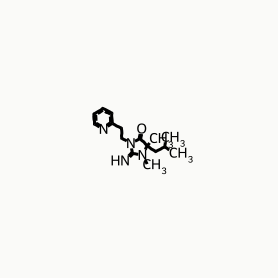 CC(C)CC1(C)C(=O)N(CCc2ccccn2)C(=N)N1C